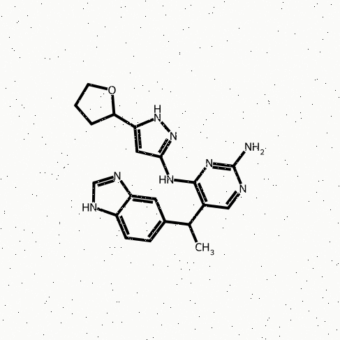 CC(c1ccc2[nH]cnc2c1)c1cnc(N)nc1Nc1cc(C2CCCO2)[nH]n1